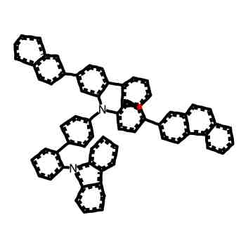 c1ccc(-c2ccc(-c3ccc4ccccc4c3)cc2N(c2ccc(-c3ccc4c(ccc5ccccc54)c3)cc2)c2ccc(-c3ccccc3-n3c4ccccc4c4ccccc43)cc2)cc1